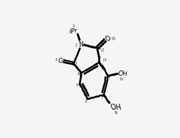 CC(C)N1C(=O)c2ccc(O)c(O)c2C1=O